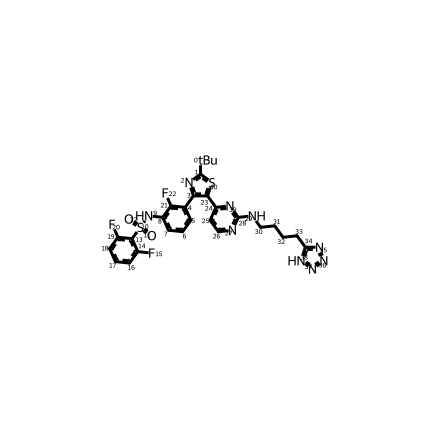 CC(C)(C)c1nc(-c2cccc(NS(=O)(=O)c3c(F)cccc3F)c2F)c(-c2ccnc(NCCCCc3nnn[nH]3)n2)s1